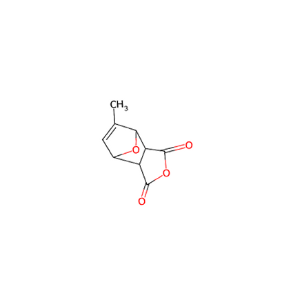 CC1=CC2OC1C1C(=O)OC(=O)C21